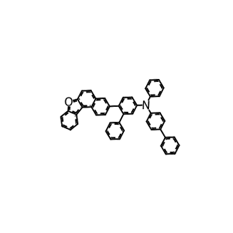 c1ccc(-c2ccc(N(c3ccccc3)c3ccc(-c4ccc5c(ccc6oc7ccccc7c65)c4)c(-c4ccccc4)c3)cc2)cc1